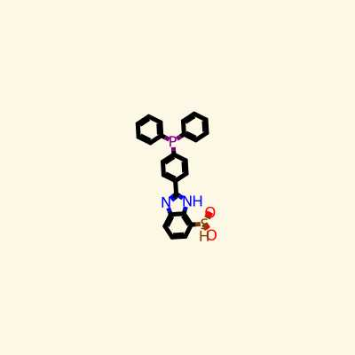 O=[SH](=O)c1cccc2nc(-c3ccc(P(c4ccccc4)c4ccccc4)cc3)[nH]c12